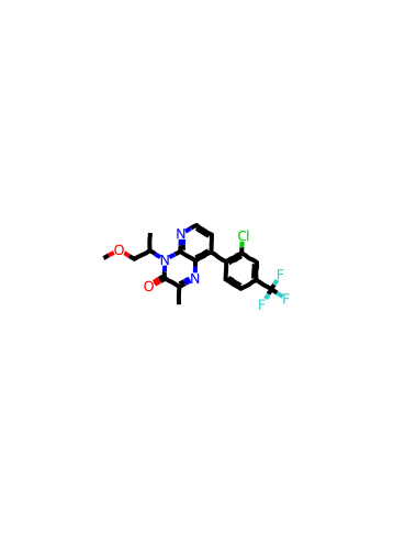 COCC(C)n1c(=O)c(C)nc2c(-c3ccc(C(F)(F)F)cc3Cl)ccnc21